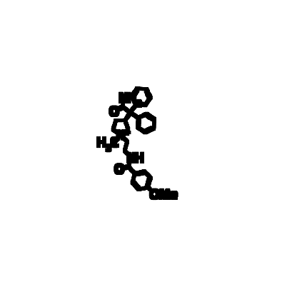 COc1ccc(C(=O)NCC[N+]2(C)CC[C@@H](C(C(N)=O)(c3ccccc3)c3ccccc3)C2)cc1